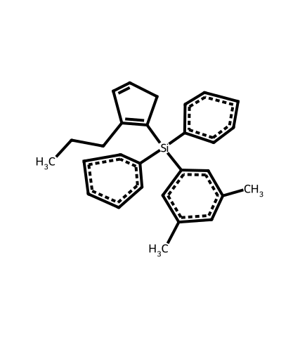 CCCC1=C([Si](c2ccccc2)(c2ccccc2)c2cc(C)cc(C)c2)CC=C1